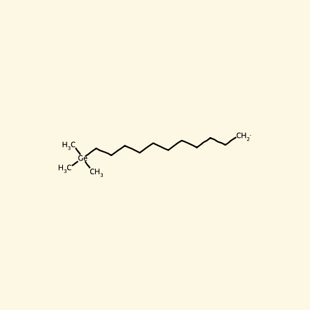 [CH2]CCCCCCCCC[CH2][Ge]([CH3])([CH3])[CH3]